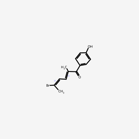 C/C(Br)=C\C=C(/C)C(=O)c1ccc(O)cc1